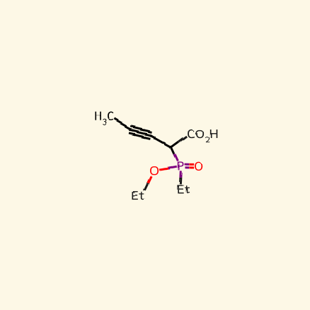 CC#CC(C(=O)O)P(=O)(CC)OCC